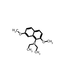 CCN(CC)c1c(OC)ccc2ccc(OC)cc12